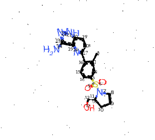 Cc1cc(S(=O)(=O)N2CCC[C@H]2CO)ccc1-c1ccc2[nH]nc(N)c2n1